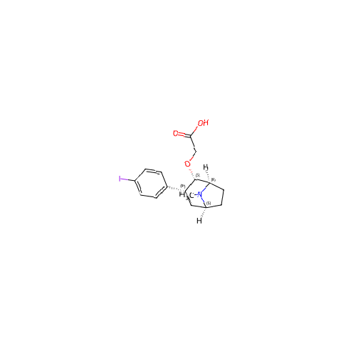 CN1[C@H]2CC[C@@H]1[C@@H](OCC(=O)O)[C@@H](c1ccc(I)cc1)C2